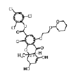 C[C@]12CC(O)C=C(O)[C@@H]1C(=O)c1c(OCCOC3CCCCO3)cc(C(=O)Oc3c(Cl)cc(Cl)cc3Cl)c(Cl)c1O2